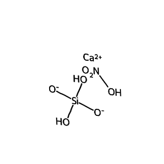 O=[N+]([O-])O.[Ca+2].[O-][Si]([O-])(O)O